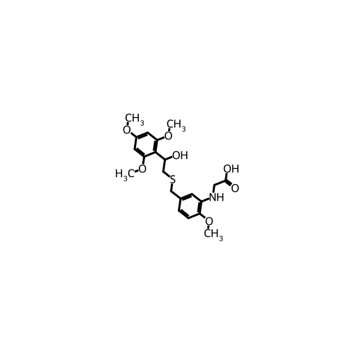 COc1cc(OC)c(C(O)CSCc2ccc(OC)c(NCC(=O)O)c2)c(OC)c1